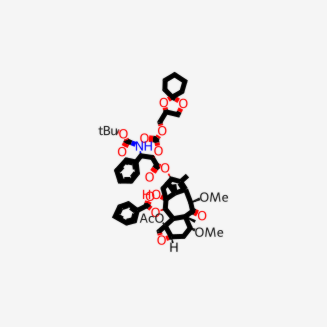 CO[C@H]1C(=O)[C@@]2(C)C([C@H](OC(=O)c3ccccc3)C3(O)C[C@H](OC(=O)[C@H](OC(=O)OCC4COC5(CCCCC5)O4)[C@@H](NC(=O)OC(C)(C)C)c4ccccc4)C(C)=C1C3(C)C)[C@]1(OC(C)=O)CO[C@@H]1C[C@@H]2OC